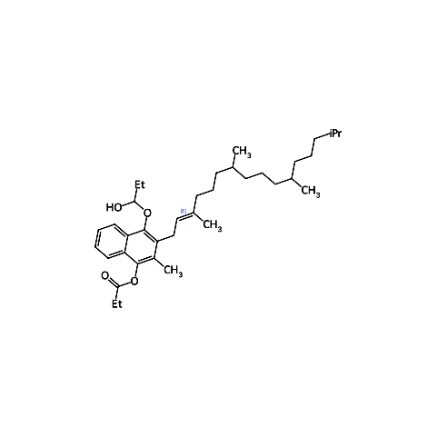 CCC(=O)Oc1c(C)c(C/C=C(\C)CCCC(C)CCCC(C)CCCC(C)C)c(OC(O)CC)c2ccccc12